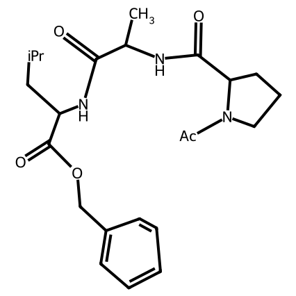 CC(=O)N1CCCC1C(=O)NC(C)C(=O)NC(CC(C)C)C(=O)OCc1ccccc1